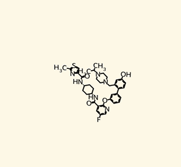 Cc1nc(C(=O)N[C@H]2CC[C@@H](NC(=O)c3cc(F)cnc3Oc3cccc(-c4ccc(O)cc4CN4CCN(C(C)C)CC4)c3)CC2)cs1